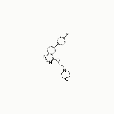 Fc1ccc(-c2ccc3ncnc(OCCN4CCOCC4)c3c2)cc1